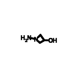 NN1CC(O)C1